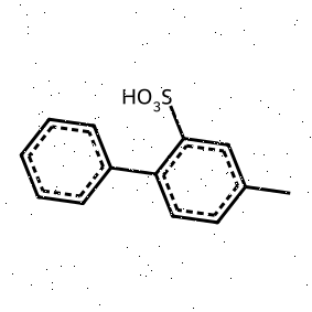 Cc1ccc(-c2ccccc2)c(S(=O)(=O)O)c1